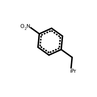 [CH2]C(C)Cc1ccc([N+](=O)[O-])cc1